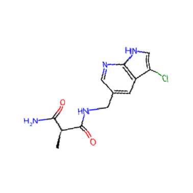 C[C@@H](C(N)=O)C(=O)NCc1cnc2[nH]cc(Cl)c2c1